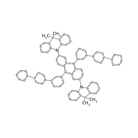 CC1(C)c2ccccc2N(c2ccc3c(-c4cccc(-c5ccc(-c6ccccc6)cc5)c4)c4cc(N5c6ccccc6C(C)(C)c6ccccc65)ccc4c(-c4cccc(-c5ccc(-c6ccccc6)cc5)c4)c3c2)c2ccccc21